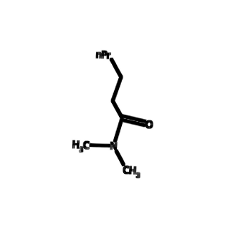 CCCCCC(=O)N(C)C